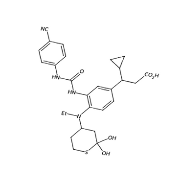 CCN(c1ccc(C(CC(=O)O)C2CC2)cc1NC(=O)Nc1ccc(C#N)cc1)C1CCSC(O)(O)C1